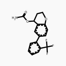 NC(=O)OC1CCOc2ccc(-c3ccccc3C(F)(F)F)cc21